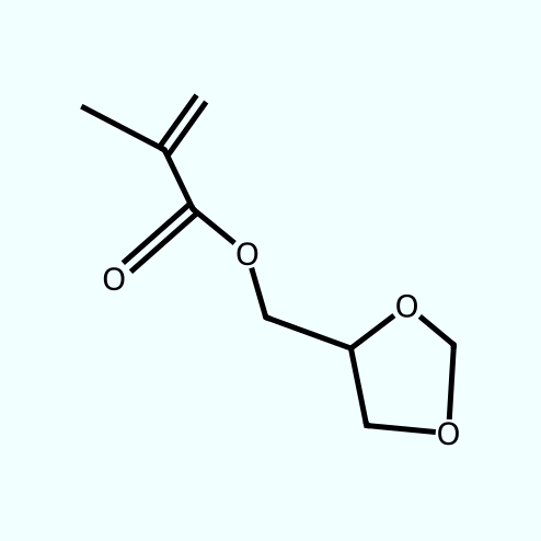 C=C(C)C(=O)OCC1COCO1